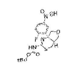 CC(C)(C)OC(=O)NC1=N[C@@]2(c3cc([N+](=O)O)ccc3F)COC[C@H]2CS1